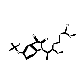 COC(O)OCOC(OC)C(C)N1C(=O)C(=O)c2cc(OC(F)(F)F)ccc21